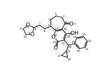 O=C1CCCC(CCC2OCCO2)c2oc(=O)c(C(c3ccccc3)C3CC3)c(O)c21